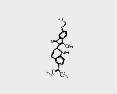 CCSc1ccc2c(c1)C(=O)C(C1C=Cc3cc(C(C)C)ccc3N1)=C2O